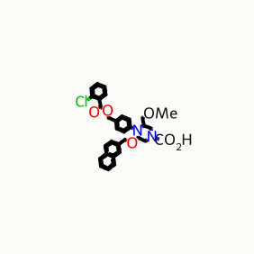 COCC1CN(C(=O)O)CC(OCc2ccc3ccccc3c2)N1c1ccc(COC(=O)c2ccccc2Cl)cc1